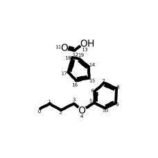 CCCCOc1ccccc1.O=CO.c1ccccc1